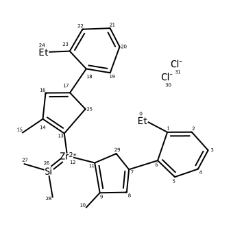 CCc1ccccc1C1=CC(C)=[C]([Zr+2]([C]2=C(C)C=C(c3ccccc3CC)C2)=[Si](C)C)C1.[Cl-].[Cl-]